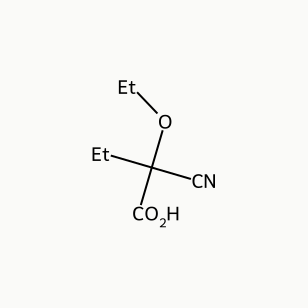 CCOC(C#N)(CC)C(=O)O